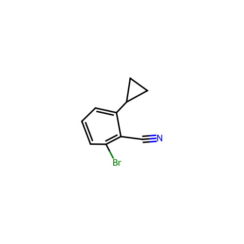 N#Cc1c(Br)cccc1C1CC1